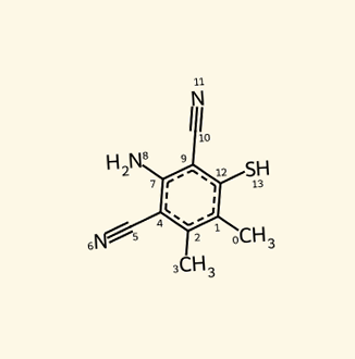 Cc1c(C)c(C#N)c(N)c(C#N)c1S